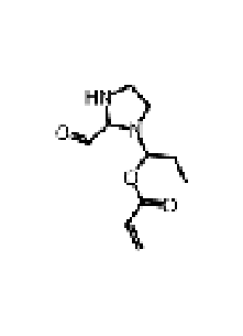 C=CC(=O)OC(CC)N1CCNC1C=O